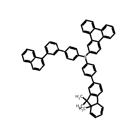 CC1(C)c2cc(-c3ccc(N(c4ccc(-c5cccc(-c6cccc7ccccc67)c5)cc4)c4ccc5c6ccccc6c6ccccc6c5c4)cc3)ccc2C2C=CC=CC21C